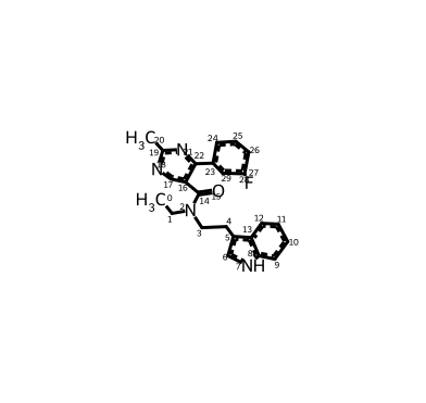 CCN(CCc1c[nH]c2ccccc12)C(=O)c1cnc(C)nc1-c1cccc(F)c1